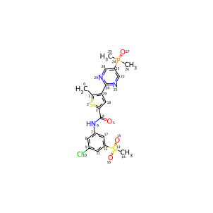 Cc1sc(C(=O)Nc2cc(Cl)cc(S(C)(=O)=O)c2)cc1-c1ncc(P(C)(C)=O)cn1